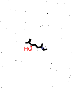 C=C(C)C(O)CC/C(C)=C/C